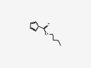 CCCCOC(=O)C1C=CC=C1